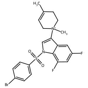 CC1=CC[N+](C)(c2cn(S(=O)(=O)c3ccc(Br)cc3)c3c(F)cc(F)cc23)CC1